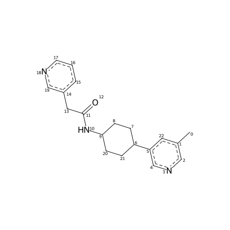 Cc1cncc(C2CCC(NC(=O)Cc3cccnc3)CC2)c1